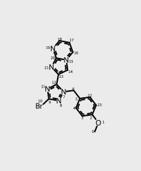 COc1ccc(Cn2nc(Br)nc2-c2cn3cccnc3n2)cc1